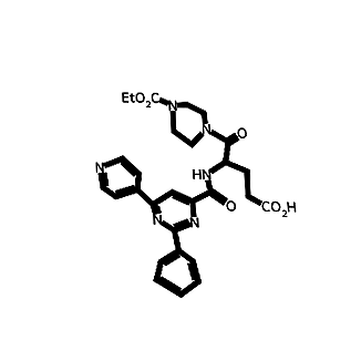 CCOC(=O)N1CCN(C(=O)C(CCC(=O)O)NC(=O)c2cc(-c3ccncc3)nc(-c3ccccc3)n2)CC1